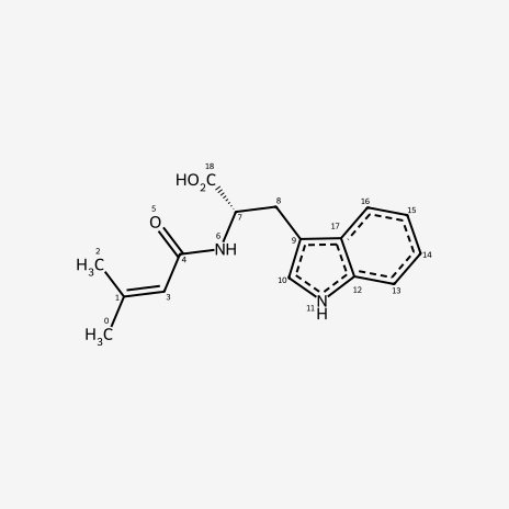 CC(C)=CC(=O)N[C@@H](Cc1c[nH]c2ccccc12)C(=O)O